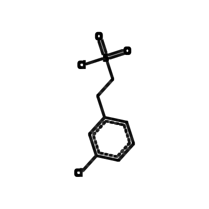 O=S(=O)(Cl)CCc1cccc(Cl)c1